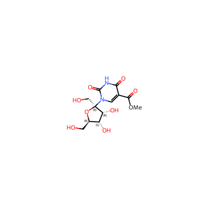 COC(=O)c1cn([C@]2(CO)O[C@H](CO)[C@@H](O)[C@H]2O)c(=O)[nH]c1=O